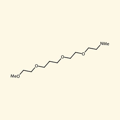 CNCCOCCOCCCOCCOC